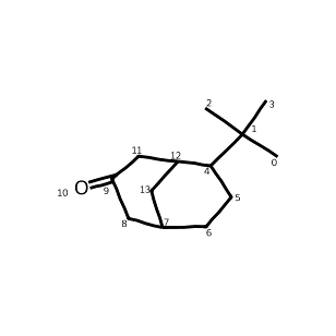 CC(C)(C)C1CCC2CC(=O)CC1C2